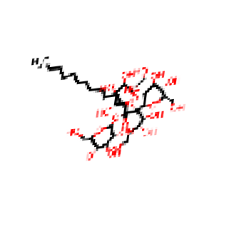 CCCCCCCCCCCCO[C@]1([C@@H]2O[C@H](CO)[C@@H](O)[C@H](O)[C@H]2O)[C@@H](O)[C@H](O)[C@@H](CO)O[C@@]1(O[C@H]1O[C@H](CO)[C@@H](O)[C@H](O)[C@H]1O)[C@H]1O[C@H](CO)[C@@H](O)[C@H](O)[C@H]1O